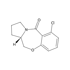 O=C1c2c(Cl)cccc2OC[C@@H]2CCCN12